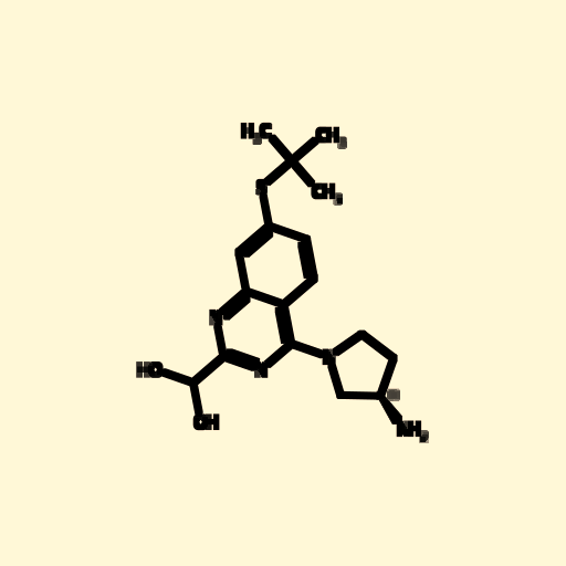 CC(C)(C)Sc1ccc2c(N3CC[C@@H](N)C3)nc(C(O)O)nc2c1